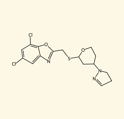 Clc1cc(Cl)c2oc(CSC3CC(N4CCC=N4)CCO3)nc2c1